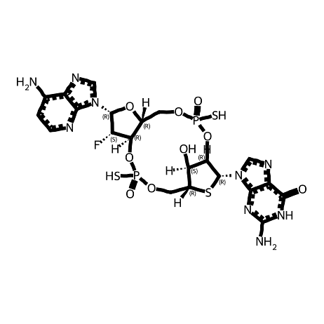 Nc1nc2c(ncn2[C@@H]2S[C@@H]3COP(=O)(S)O[C@H]4[C@H](F)[C@H](n5cnc6c(N)ccnc65)O[C@@H]4COP(=O)(S)O[C@@H]2[C@@H]3O)c(=O)[nH]1